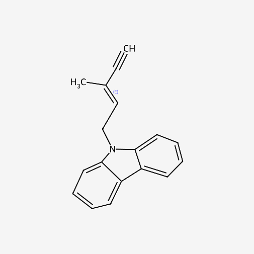 C#C/C(C)=C/Cn1c2ccccc2c2ccccc21